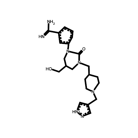 N=C(N)c1cccc(N2CC(CO)CN(CC3CCN(Cc4cn[nH]c4)CC3)C2=O)c1